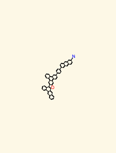 N#Cc1ccc2cc3cc(-c4ccc(-c5ccc6c(c5)c5ccccc5c5cc7c(cc65)oc5c6cc8ccccc8cc6c6ccccc6c75)cc4)ccc3cc2c1